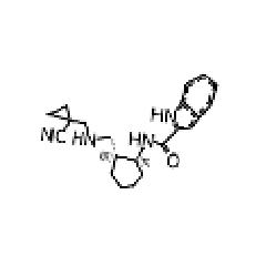 N#CC1(CNC[C@H]2CCCC[C@@H]2NC(=O)c2cc3ccccc3[nH]2)CC1